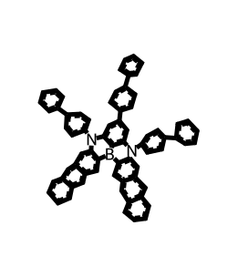 c1ccc(-c2ccc(-c3cc4c5c(c3)N(c3ccc(-c6ccccc6)cc3)c3cc6cc7ccccc7cc6cc3B5c3cc5cc6ccccc6cc5cc3N4c3ccc(-c4ccccc4)cc3)cc2)cc1